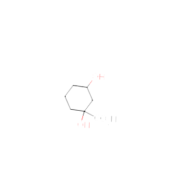 O=C(O)C1(O)CCCC(O)C1